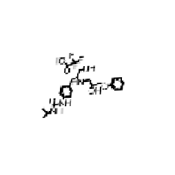 CC(C)NC(=O)Nc1ccc(C[C@@H](CO)NC[C@H](O)COc2ccccc2)cc1.O=C(O)C(F)(F)F